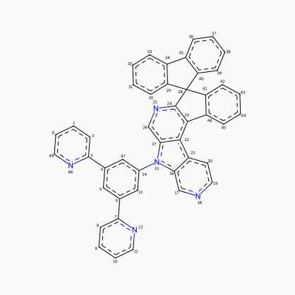 c1ccc(-c2cc(-c3ccccn3)cc(-n3c4cnccc4c4c5c(ncc43)C3(c4ccccc4-c4ccccc43)c3ccccc3-5)c2)nc1